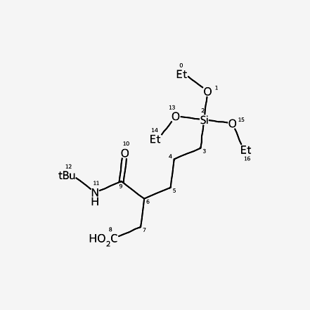 CCO[Si](CCCC(CC(=O)O)C(=O)NC(C)(C)C)(OCC)OCC